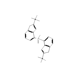 CC(C)(C)C1=Cc2c(cccc2[Si](C)(C)c2cccc3c2C=C(C(C)(C)C)C3)C1